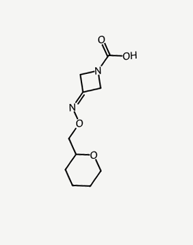 O=C(O)N1CC(=NOCC2CCCCO2)C1